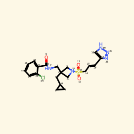 O=C(NCC1(CC2CC2)CN(S(=O)(=O)CC=Cc2c[nH]nn2)C1)c1ccccc1Cl